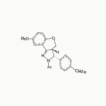 COc1ccc([C@H]2[C@H]3COc4ccc(OC)cc4C3=NN2C(C)=O)cc1